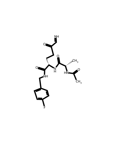 CC(=O)N[C@@H](C)C(=O)N[C@@H](CCC(=O)C=N)C(=O)NCc1ccc(F)cc1